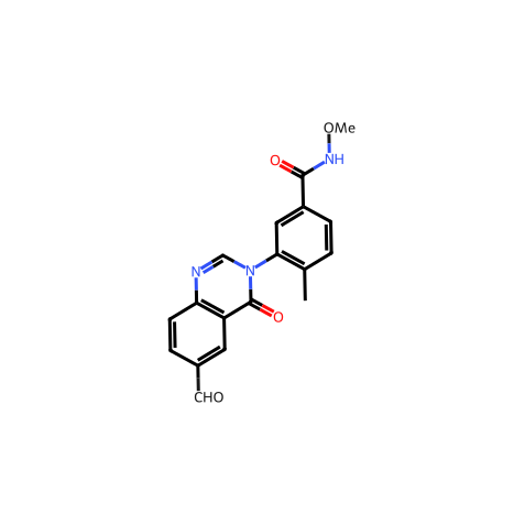 CONC(=O)c1ccc(C)c(-n2cnc3ccc(C=O)cc3c2=O)c1